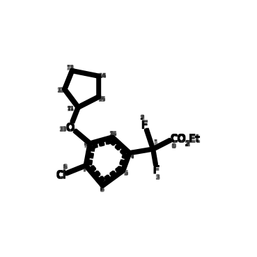 CCOC(=O)C(F)(F)c1ccc(Cl)c(OC2CCCC2)c1